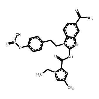 CCn1nc(C)cc1C(=O)Nc1nc2cc(C(N)=O)ccc2n1CCc1ccc(O[PH](=O)O)cc1